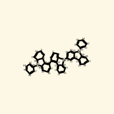 C1=CC2c3c(-c4cccc5c4c4ccccc4n5-c4ccc5c(c4)c4ccccc4n5-c4ccccc4)cccc3N(c3ccccc3)C2C=C1